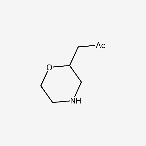 CC(=O)CC1CNCCO1